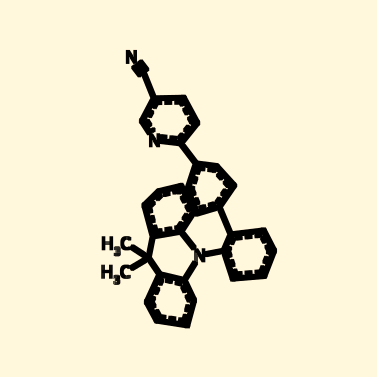 CC1(C)c2ccccc2N(c2ccccc2-c2ccc(-c3ccc(C#N)cn3)cc2)c2ccccc21